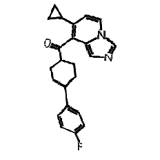 O=C(c1c(C2CC2)ccn2cncc12)C1CCC(c2ccc(F)cc2)CC1